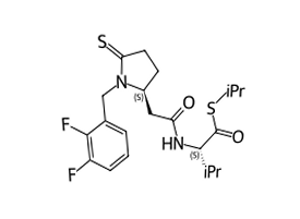 CC(C)SC(=O)[C@@H](NC(=O)C[C@@H]1CCC(=S)N1Cc1cccc(F)c1F)C(C)C